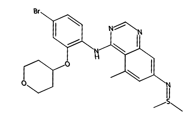 Cc1cc(N=S(C)C)cc2ncnc(Nc3ccc(Br)cc3OC3CCOCC3)c12